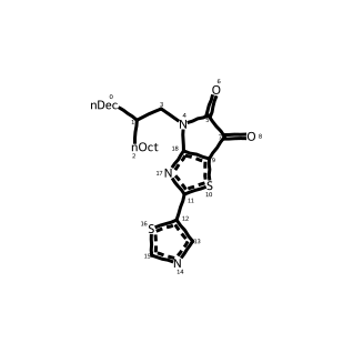 CCCCCCCCCCC(CCCCCCCC)CN1C(=O)C(=O)c2sc(-c3cncs3)nc21